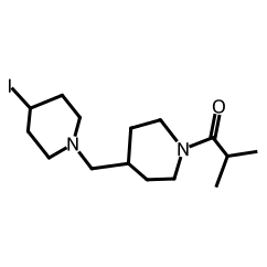 CC(C)C(=O)N1CCC(CN2CCC(I)CC2)CC1